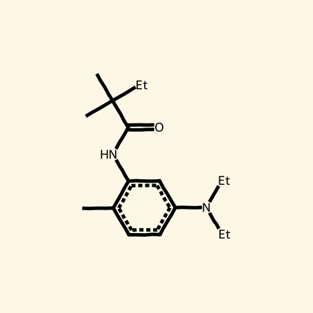 CCN(CC)c1ccc(C)c(NC(=O)C(C)(C)CC)c1